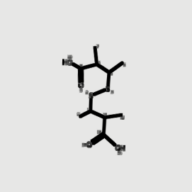 CC(SSC(C)C(C)C(=O)O)C(C)C(=O)O